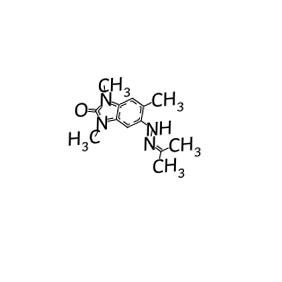 CC(C)=NNc1cc2c(cc1C)n(C)c(=O)n2C